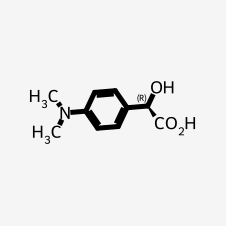 CN(C)c1ccc([C@@H](O)C(=O)O)cc1